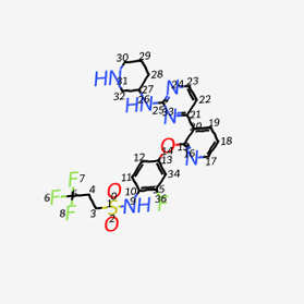 O=S(=O)(CCC(F)(F)F)Nc1ccc(Oc2ncccc2-c2ccnc(NC3CCCNC3)n2)cc1F